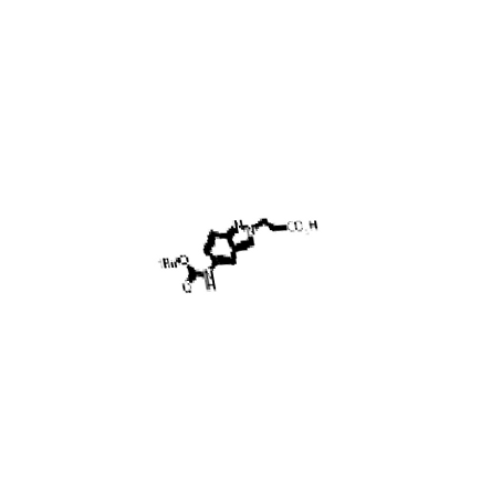 CC(C)(C)OC(=O)Nc1ccc2nn(CCC(=O)O)cc2c1